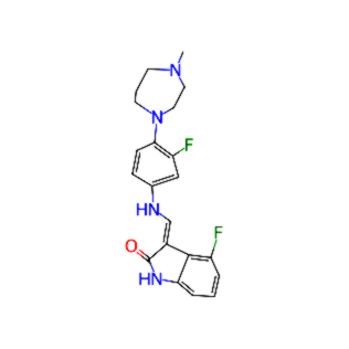 CN1CCCN(c2ccc(NC=C3C(=O)Nc4cccc(F)c43)cc2F)CC1